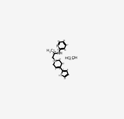 C[C@H](CN1CC=C(c2cccs2)CC1)Nc1ccccn1.Cl.Cl